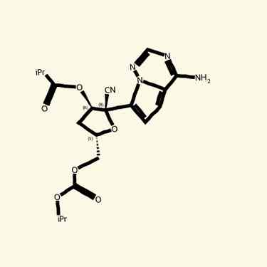 CC(C)OC(=O)OC[C@@H]1C[C@@H](OC(=O)C(C)C)[C@](C#N)(c2ccc3c(N)ncnn23)O1